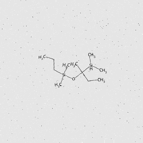 CCC[Si](C)(C)OC(C)(CC)[SiH](C)C